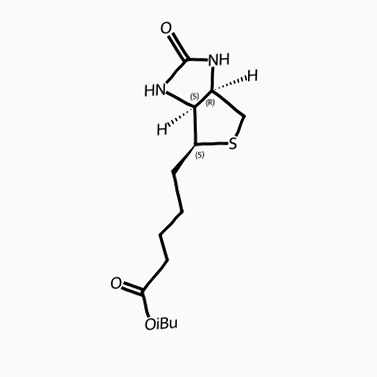 CC(C)COC(=O)CCCC[C@@H]1SC[C@@H]2NC(=O)N[C@@H]21